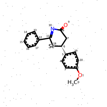 COc1ccc([C@H]2CC(=O)N=C(c3ccccc3)[Se]2)cc1